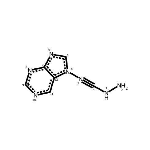 NNC#[N+]n1cnc2ncncc21